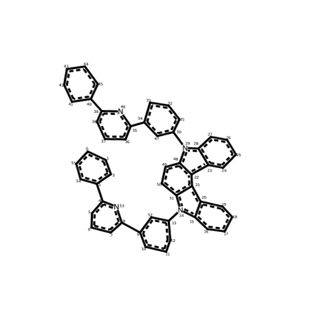 c1ccc(-c2cccc(-c3cccc(-n4c5ccccc5c5c6c7ccccc7n(-c7cccc(-c8cccc(-c9ccccc9)n8)c7)c6ccc54)c3)n2)cc1